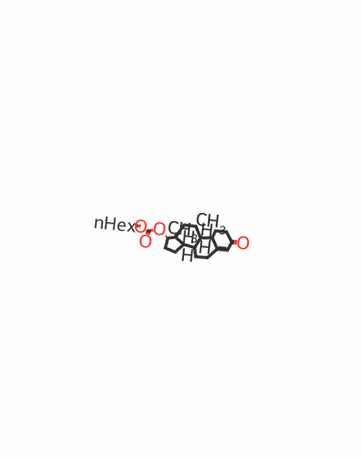 CCCCCCOC(=O)O[C@H]1CC[C@H]2[C@@H]3CCC4=CC(=O)CC[C@@H]4[C@H]3[C@@H](C)C[C@]12C